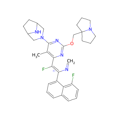 C=N/C(=C(/F)c1nc(OCC23CCCN2CCC3)nc(N2CC3CCC(C2)N3)c1C)c1cccc2cccc(F)c12